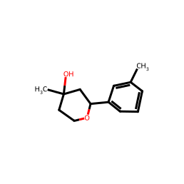 Cc1cccc(C2CC(C)(O)CCO2)c1